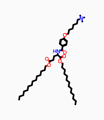 CCCCCCCCCCCCCCOC(=O)CCC(NC(=O)c1ccc(OCCCCCC[N+](C)(C)C)cc1)C(=O)OCCCCCCCCCCCCCC